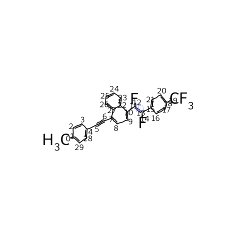 Cc1ccc(C#Cc2ccc(/C(F)=C(\F)c3ccc(C(F)(F)F)cc3)c3ccccc23)cc1